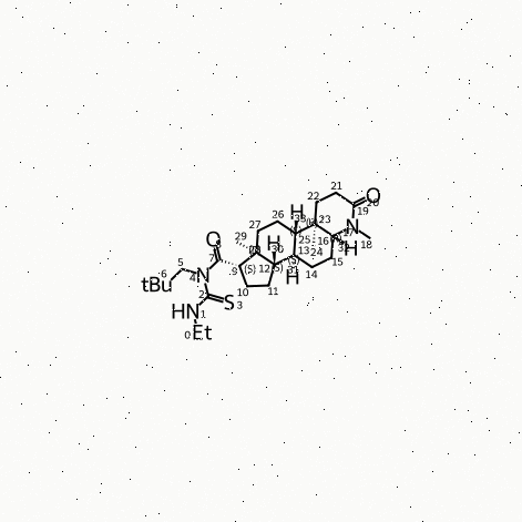 CCNC(=S)N(CC(C)(C)C)C(=O)[C@H]1CC[C@H]2[C@@H]3CC[C@H]4N(C)C(=O)CC[C@]4(C)[C@H]3CC[C@]12C